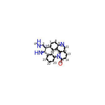 CN/C=C(\C=N)c1ccc2ncc3ccc(=O)n(-c4ccccc4)c3c2c1